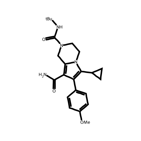 COc1ccc(-c2c(C(N)=O)c3n(c2C2CC2)CCN(C(=O)NC(C)(C)C)C3)cc1